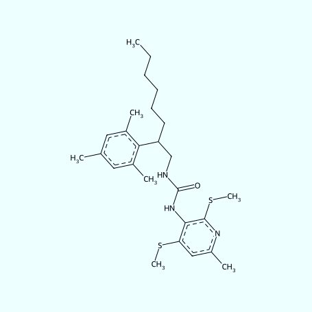 CCCCCCC(CNC(=O)Nc1c(SC)cc(C)nc1SC)c1c(C)cc(C)cc1C